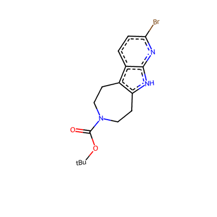 CC(C)(C)OC(=O)N1CCc2[nH]c3nc(Br)ccc3c2CC1